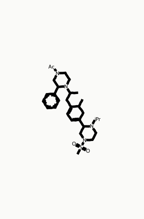 CC(=O)N1CCN(C(C)CC2=CC=C(C3CN(S(C)(=O)=O)CCN3C(C)C)CC2C)C(c2ccccc2)C1